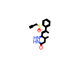 C#CC[S+]([O-])c1ccccc1/C(C)=C/C1NNC(=O)CC1C